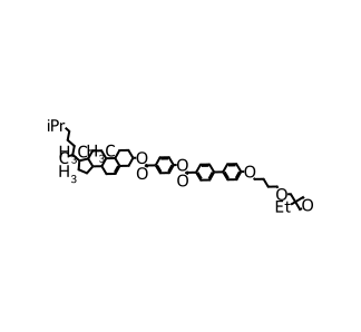 CCC1(COCCCCOc2ccc(-c3ccc(C(=O)Oc4ccc(C(=O)OC5CCC6(C)C(=CCC7C6CCC6(C)C(C(C)CCCC(C)C)CCC76)C5)cc4)cc3)cc2)COC1